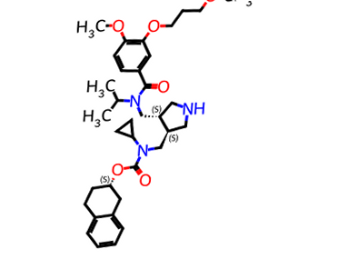 COCCCOc1cc(C(=O)N(C[C@@H]2CNC[C@H]2CN(C(=O)O[C@H]2CCc3ccccc3C2)C2CC2)C(C)C)ccc1OC